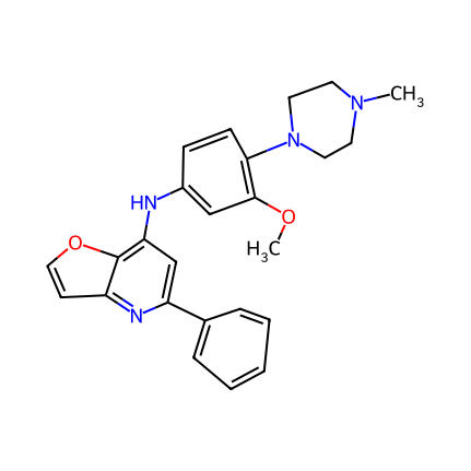 COc1cc(Nc2cc(-c3ccccc3)nc3ccoc23)ccc1N1CCN(C)CC1